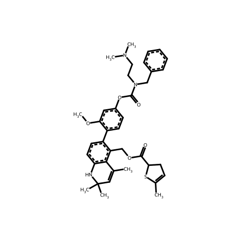 COc1cc(OC(=O)N(CCN(C)C)Cc2ccccc2)ccc1-c1ccc2c(c1COC(=O)C1CC=C(C)S1)C(C)=CC(C)(C)N2